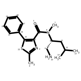 Cc1nc(C(=O)N(C)[C@@H](CN)CC(C)C)c(-c2ccccc2)s1